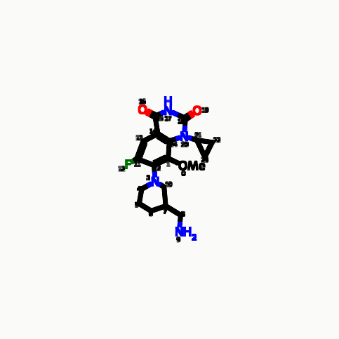 COc1c(N2CCCC(CN)C2)c(F)cc2c(=O)[nH]c(=O)n(C3CC3)c12